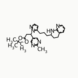 Cc1ncc(C(CC(=O)OC(C)(C)C)n2nccc2CCCC2CCc3cccnc3N2)cn1